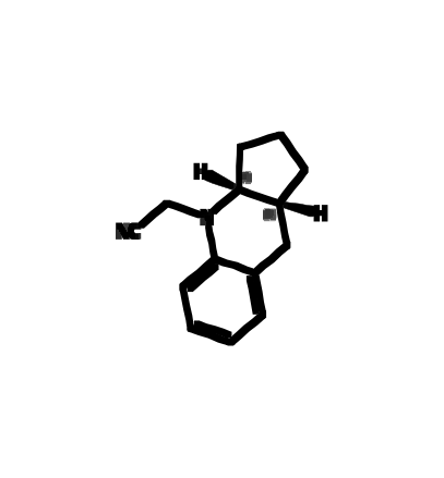 N#CCN1c2ccccc2C[C@H]2CCC[C@H]21